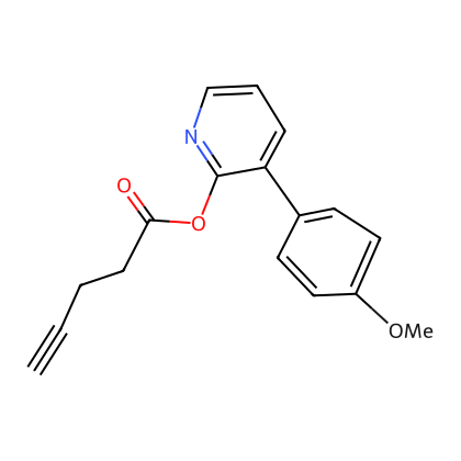 C#CCCC(=O)Oc1ncccc1-c1ccc(OC)cc1